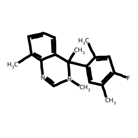 Cc1cc(C2(C)c3cccc(C)c3N=CN2C)c(C)cc1F